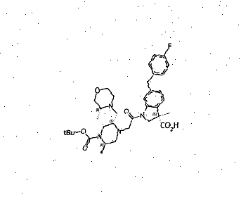 C[C@@H]1COCCN1C[C@H]1CN(C(=O)OC(C)(C)C)[C@H](C)CN1CC(=O)N1C[C@@](C)(C(=O)O)c2ccc(Cc3ccc(F)cc3)cc21